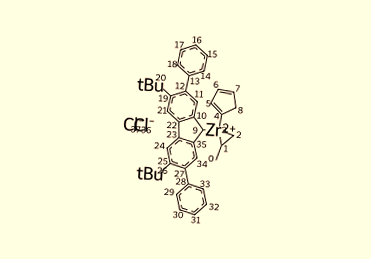 C[CH]1[CH2][Zr+2]1([C]1=CC=CC1)[CH]1c2cc(-c3ccccc3)c(C(C)(C)C)cc2-c2cc(C(C)(C)C)c(-c3ccccc3)cc21.[Cl-].[Cl-]